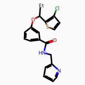 CCC(Oc1cccc(C(=O)NCc2ccccn2)c1)c1sccc1Cl